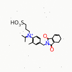 CC(C)=[N+](CCCS(=O)(=O)O)c1ccc(CN2C(=O)C3=C(CCC=C3)C2=O)cc1C